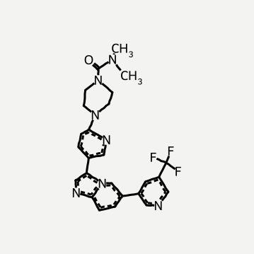 CN(C)C(=O)N1CCN(c2ccc(-c3cnc4ccc(-c5cncc(C(F)(F)F)c5)cn34)cn2)CC1